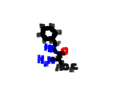 NC(CC(=O)O)C(=O)NCc1ccccc1